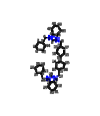 c1ccc(C[n+]2cn(Cc3ccc(-c4ccc(Cn5c[n+](Cc6ccccc6)c6ccccc65)cc4)cc3)c3ccccc32)cc1